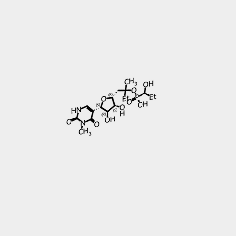 CCC(O)P(=O)(O)OC(C)(CC)C[C@H]1O[C@@H](c2c[nH]c(=O)n(C)c2=O)[C@H](O)[C@@H]1O